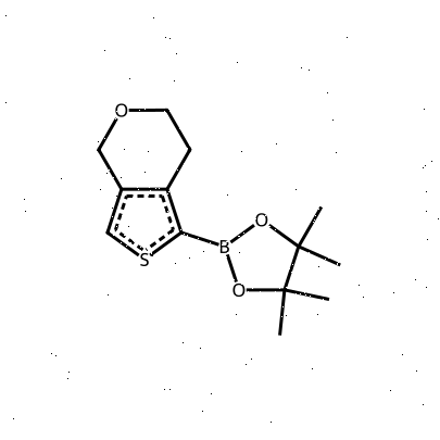 CC1(C)OB(c2scc3c2CCOC3)OC1(C)C